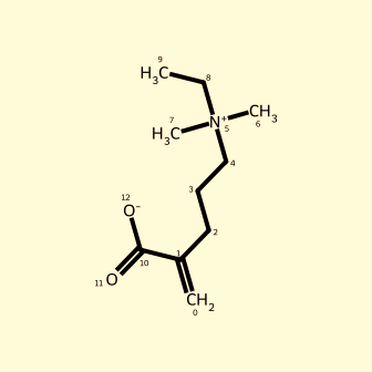 C=C(CCC[N+](C)(C)CC)C(=O)[O-]